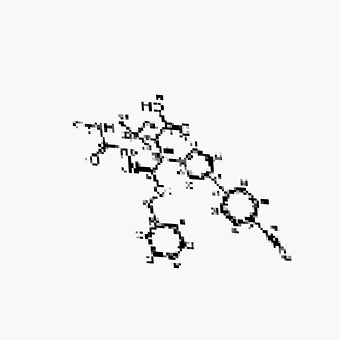 CNC(=O)[C@@H](N=C(OCc1ccccc1)[C@@H](CC(=O)O)n1ccc(-c2ccc(C#N)cc2)c1)C(C)(C)C